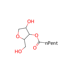 CCCCCC(=O)OC1C(O)COC1CO